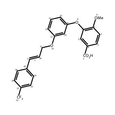 COc1ccc(C(=O)O)cc1Oc1cccc(OC/C=C/c2ccc(C(F)(F)F)cc2)c1